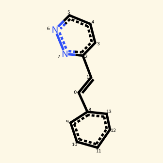 C(=Cc1cccnn1)c1ccccc1